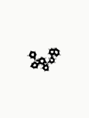 c1ccc(-n2c3ccccc3c3c4c5ccccc5n(-c5cccc(-c6cccc7ccccc67)n5)c4ccc32)cc1